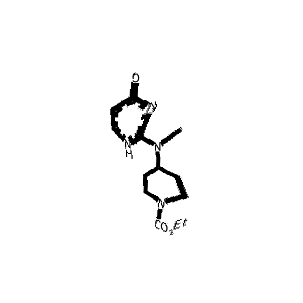 CCOC(=O)N1CCC(N(C)c2nc(=O)cc[nH]2)CC1